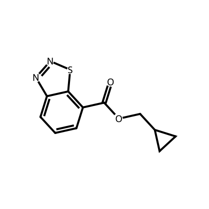 O=C(OCC1CC1)c1cccc2nnsc12